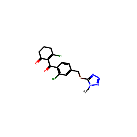 Cn1nnnc1SCc1ccc(C(=O)C2=C(Cl)CCCC2=O)c(Br)c1